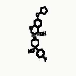 O[C@H]1c2ccc(OC3CCCC3)cc2OC[C@H]1N1CCC(O)(c2ccc(F)cc2)CC1